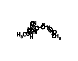 CCOC(=O)Nc1nc2cc(-c3ccc(CN4CCN(C(=O)CC)CC4)nc3)cc(-c3ncccn3)c2[nH]1